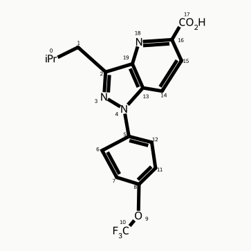 CC(C)Cc1nn(-c2ccc(OC(F)(F)F)cc2)c2ccc(C(=O)O)nc12